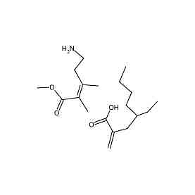 C=C(CC(CC)CCCC)C(=O)O.COC(=O)C(C)=C(C)CCN